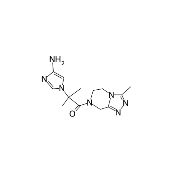 Cc1nnc2n1CCN(C(=O)C(C)(C)n1cnc(N)c1)C2